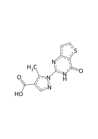 Cc1c(C(=O)O)cnn1-c1nc2ccsc2c(=O)[nH]1